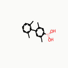 Cc1cc(-c2c(C)cccc2C)c(C)cc1B(O)O